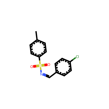 Cc1ccc(S(=O)(=O)/N=C\c2ccc(Cl)cc2)cc1